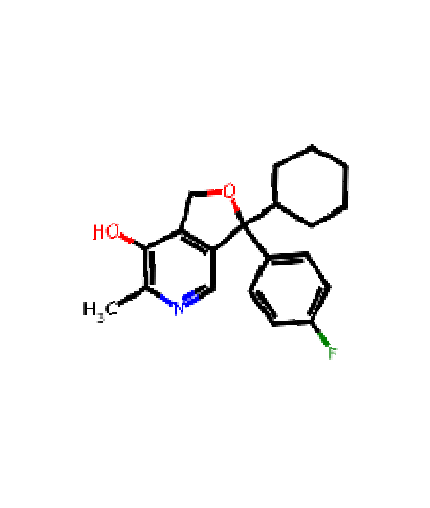 Cc1ncc2c(c1O)COC2(c1ccc(F)cc1)C1CCCCC1